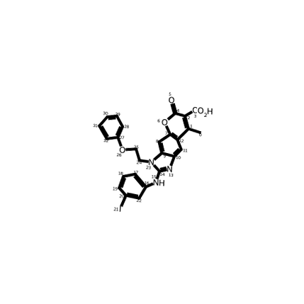 Cc1c(C(=O)O)c(=O)oc2cc3c(cc12)nc(Nc1cccc(I)c1)n3CCOc1ccccc1